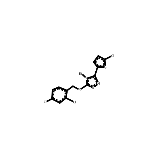 CCn1c(SCc2ccc(Cl)cc2Cl)nnc1-c1ccc(Cl)s1